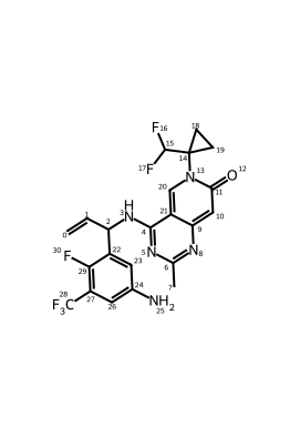 C=CC(Nc1nc(C)nc2cc(=O)n(C3(C(F)F)CC3)cc12)c1cc(N)cc(C(F)(F)F)c1F